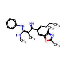 C=c1nc(C)o/c1=C/C(=C\CCC)C(=N)/C(C)=C(/NC)Nc1ccccc1